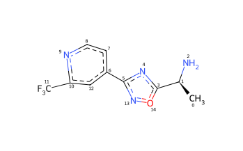 C[C@H](N)c1nc(-c2ccnc(C(F)(F)F)c2)no1